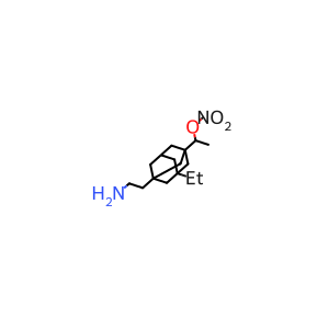 CCC12CC3CC(CCN)(C1)CC(C(C)O[N+](=O)[O-])(C3)C2